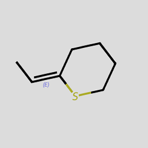 C/C=C1\CCCCS1